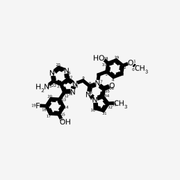 COc1ccc(Cn2c(Cn3nc(-c4cc(O)cc(F)c4)c4c(N)ncnc43)nn3ccc(C)c3c2=O)c(O)c1